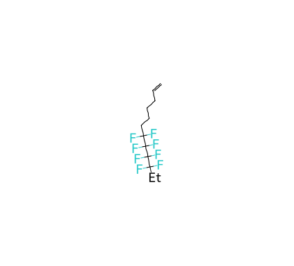 C=CCCCCC(F)(F)C(F)(F)C(F)(F)C(F)(F)CC